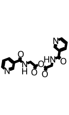 O=C(CNC(=O)c1cccnc1)OC(=O)CNC(=O)c1cccnc1